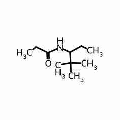 CCC(=O)NC(CC)C(C)(C)C